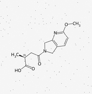 COc1ccc2c(n1)CN(C(=O)C[C@H](C)C(=O)O)C2